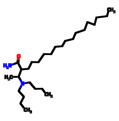 CCCCCCCCCCCCCCCCC(C(N)=O)C(C)N(CCCC)CCCC